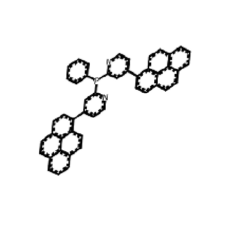 c1ccc(P(c2cc(-c3ccc4ccc5cccc6ccc3c4c56)ccn2)c2cc(-c3ccc4ccc5cccc6ccc3c4c56)ccn2)cc1